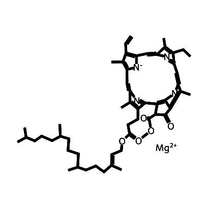 C=Cc1c(C)c2cc3nc(c4c5[n-]c(cc6nc(cc1[n-]2)C(C)=C6CC)c(C)c5C(=O)C4C(=O)OC)C(CCC(=O)OC/C=C(\C)CCCC(C)CCCC(C)CCCC(C)C)=C3C.[Mg+2]